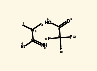 CCC(=N)N(C)C.O=C(O)C(F)(F)F